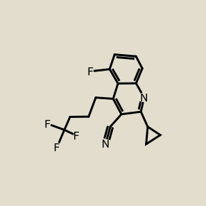 N#Cc1c(C2CC2)nc2cccc(F)c2c1CCCC(F)(F)F